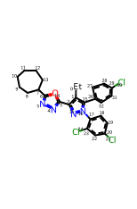 CCc1c(-c2nnc(C3CCCCCC3)o2)nn(-c2ccc(Cl)cc2Cl)c1-c1ccc(Cl)cc1